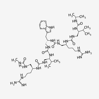 CNC(=O)NC[C@H](CCCNC(=N)N)NC(=O)NC[C@@H](NC(=O)NC[C@H](Cc1c[nH]c2ccccc12)NC(=O)NC[C@H](CCCNC(=N)N)NC(=O)NC[C@@H](NC(=O)NC(C)C)C(C)C)C(C)C